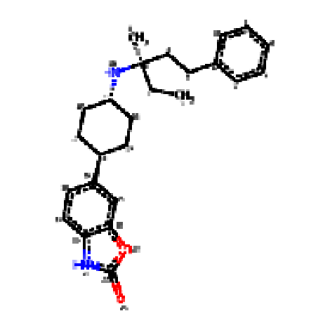 CC[C@](C)(CCc1ccccc1)N[C@H]1CC[C@H](c2ccc3[nH]c(=O)oc3c2)CC1